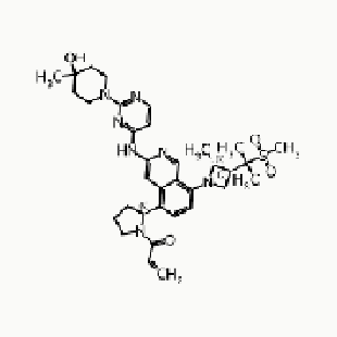 C=CC(=O)N1CCC[C@H]1c1ccc(N2C[C@H](C(C)(C)S(C)(=O)=O)[C@H]2C)c2cnc(Nc3ccnc(N4CCC(C)(O)CC4)n3)cc12